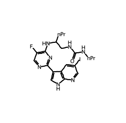 CCCNC(=O)NCC(CCC)Nc1nc(-c2c[nH]c3ncc(I)cc23)ncc1F